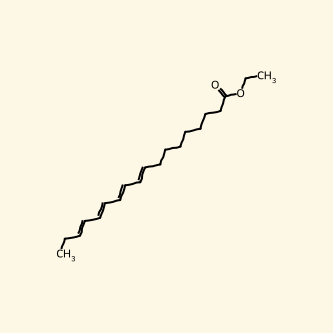 CCC=CC=CC=CC=CCCCCCCCC(=O)OCC